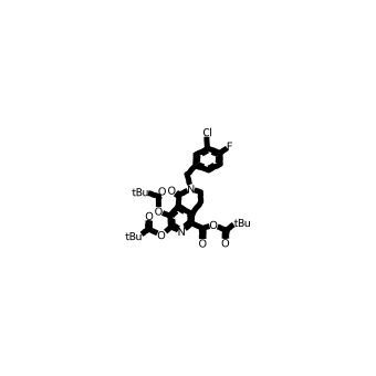 CC(C)(C)C(=O)OC(=O)c1nc(OC(=O)C(C)(C)C)c(OC(=O)C(C)(C)C)c2c1CCN(Cc1ccc(F)c(Cl)c1)C2=O